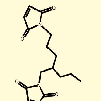 CCCC(CCCN1C(=O)C=CC1=O)CN1C(=O)C=CC1=O